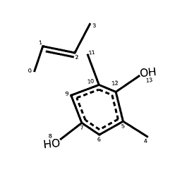 CC=CC.Cc1cc(O)cc(C)c1O